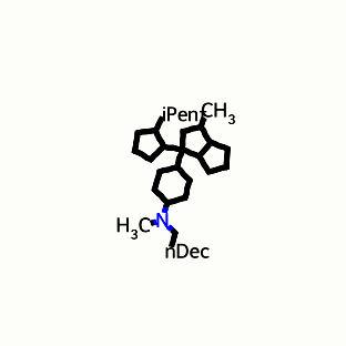 CCCCCCCCCCCN(C)C1CCC(C2(C3CCCC3C(C)CCC)CC(C)C3CCCC32)CC1